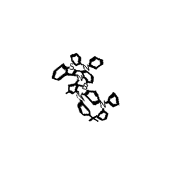 Cc1cc2c3c(c1)-n1c4c(ccc(N(c5ccccc5)c5ccccc5)c4c4sc5ccccc5c41)B3c1ccc(N(c3ccccc3)c3ccccc3)cc1N2c1cccc(C(C)(C)C)c1